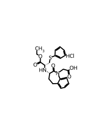 CCOC(=O)[C@H](CSc1ccccc1)N[C@H]1CCc2ccccc2N(CC(=O)O)C1=O.Cl